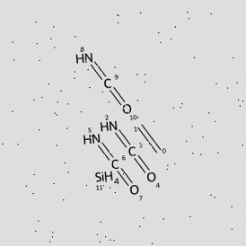 C=C.N=C=O.N=C=O.N=C=O.[SiH4]